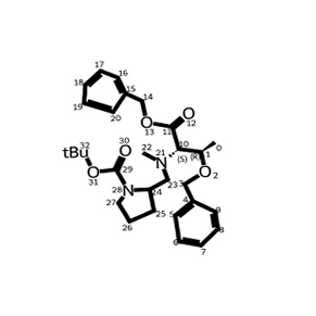 C[C@@H](OCc1ccccc1)[C@@H](C(=O)OCc1ccccc1)N(C)CC1CCCN1C(=O)OC(C)(C)C